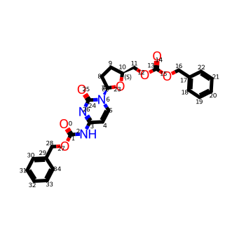 O=C(Nc1ccn([C@H]2CC[C@@H](COC(=O)OCc3ccccc3)O2)c(=O)n1)OCc1ccccc1